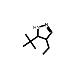 CCC1C=NNC1C(C)(C)C